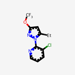 CCc1cc(OC(F)(F)F)nn1-c1ncccc1Cl